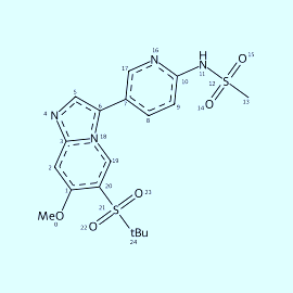 COc1cc2ncc(-c3ccc(NS(C)(=O)=O)nc3)n2cc1S(=O)(=O)C(C)(C)C